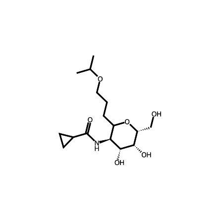 CC(C)OCCCC1O[C@H](CO)[C@H](O)[C@H](O)[C@H]1NC(=O)C1CC1